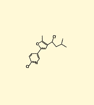 Cc1oc(-c2ccc(Cl)nc2)cc1C(Cl)CC(C)C